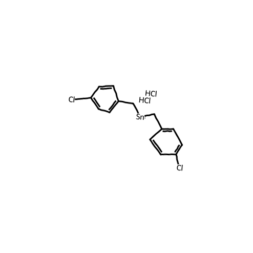 Cl.Cl.Clc1ccc([CH2][Sn][CH2]c2ccc(Cl)cc2)cc1